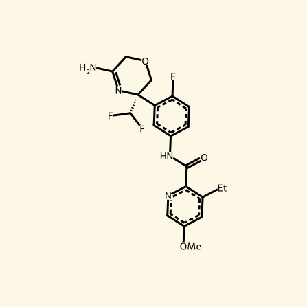 CCc1cc(OC)cnc1C(=O)Nc1ccc(F)c([C@]2(C(F)F)COCC(N)=N2)c1